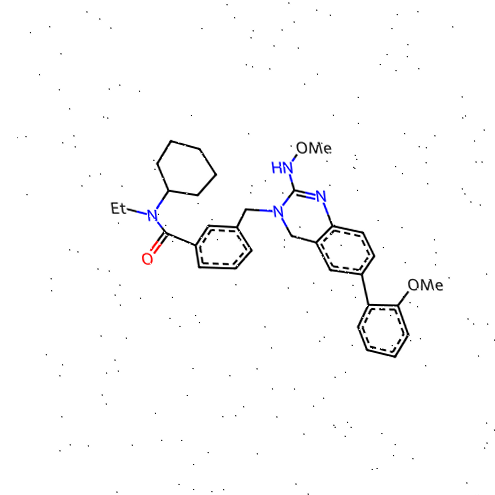 CCN(C(=O)c1cccc(CN2Cc3cc(-c4ccccc4OC)ccc3N=C2NOC)c1)C1CCCCC1